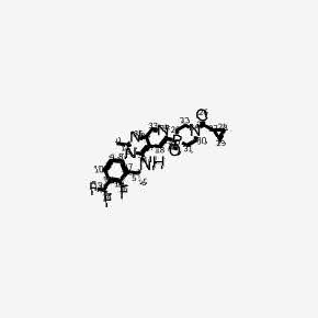 Cc1nc(N[C@H](C)c2cccc(C(F)F)c2F)c2cc(P3(=O)CCN(C(=O)C4CC4)CC3)ncc2n1